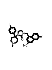 CN1CCC(c2ccc(F)cc2)(N2CCN(Cc3cc(C#N)cc4cc(F)ccc34)C2=O)CC1